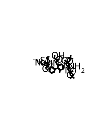 [CH]=Nc1cc(S(=O)(=O)c2cccc(-c3c(C)cc(N(C(=O)OC(C)(C)C)C(N)=NC(=O)OC(C)(C)C)cc3NC(=O)CO)c2)c(SC)s1